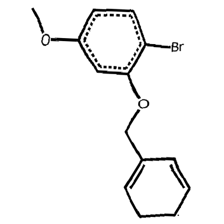 COc1ccc(Br)c(OCC2=CC[CH]C=C2)c1